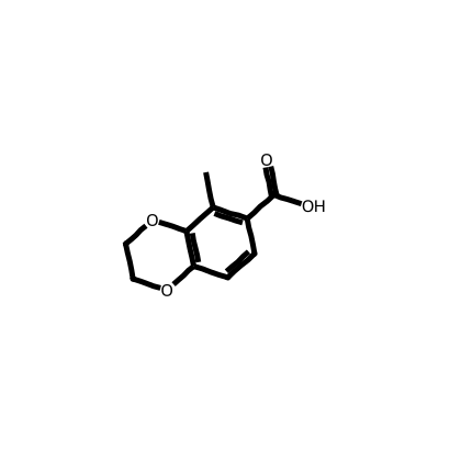 Cc1c(C(=O)O)ccc2c1OCCO2